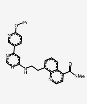 CNC(=O)c1ccnc2c(CCNc3cc(-c4ccc(OC(C)C)nc4)ncn3)cccc12